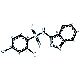 O=S(=O)(Nc1noc2ccccc12)c1ccc(Cl)cc1Cl